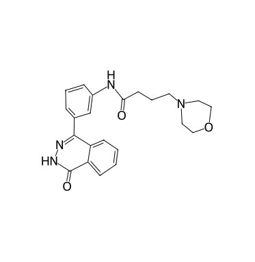 O=C(CCCN1CCOCC1)Nc1cccc(-c2n[nH]c(=O)c3ccccc23)c1